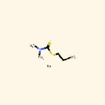 CCCSC(=S)N(C)C.[Na]